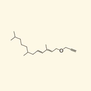 C#CCOC/C=C(C)/C=C/CC(C)CCCC(C)C